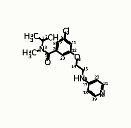 CC(C)N(C)C(=O)c1cc(Cl)cc(OCCNc2ccncc2)c1